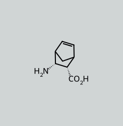 N[C@@H]1C2C=CC(C2)[C@@H]1C(=O)O